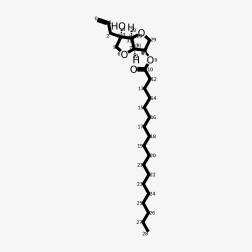 C=CC[C@]1(O)CO[C@@H]2[C@H](OC(=O)CCCCCCCCCCCCCCCCC)CO[C@@H]21